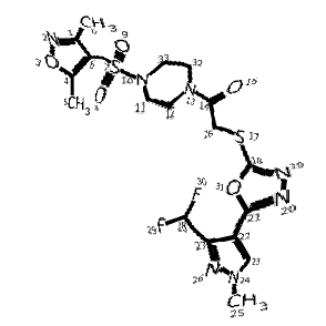 Cc1noc(C)c1S(=O)(=O)N1CCN(C(=O)CSc2nnc(-c3cn(C)nc3C(F)F)o2)CC1